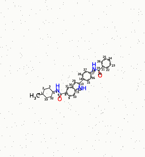 CC1CCC(NC(=O)c2ccc3[nH]c(-c4ccc(NC(=O)c5ccccc5)cc4)cc3c2)CC1